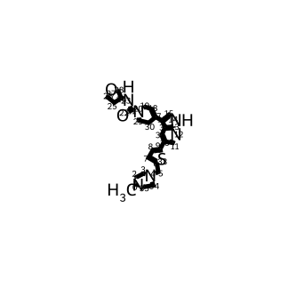 CN1CCN(Cc2ccc(-c3cnc4[nH]cc(C5=CCN(C(=O)NC6CCOC6)CC5)c4c3)s2)CC1